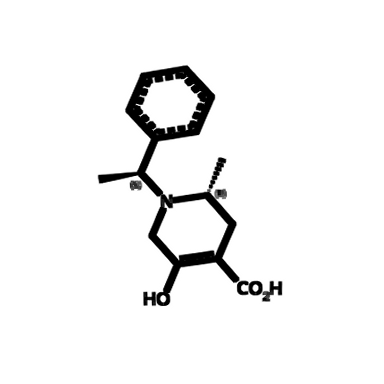 C[C@@H]1CC(C(=O)O)=C(O)CN1[C@@H](C)c1ccccc1